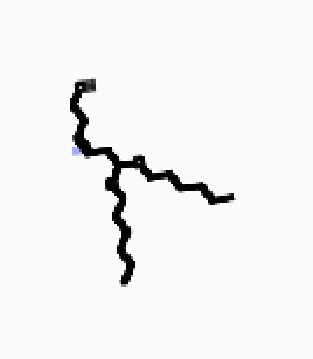 CCCCCCOC(C/C=C\CCO)OCCCCCC